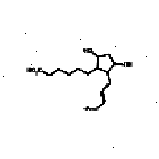 CCCCCC=CCC1C(O)CC(O)C1CCCCCC(=O)O